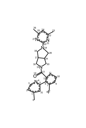 Cc1ccnc(-c2c(F)cccc2C(=O)N2CC3CN(c4nc(C)cc(C)n4)CC3C2)c1